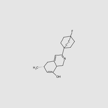 C[C@H]1C=C(O)C2CN=C(C34CCC(F)(CC3)CC4)C=C2C1